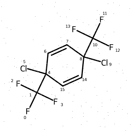 FC(F)(F)C1(Cl)C=CC(Cl)(C(F)(F)F)C=C1